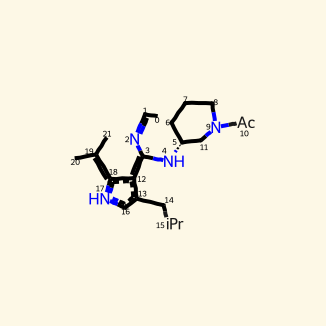 C/C=N\C(N[C@@H]1CCCN(C(C)=O)C1)=c1\c(CC(C)C)c[nH]c1=C(C)C